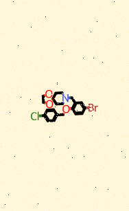 Clc1ccc(COc2ccc(Br)cc2CN2CCC3(CC2)OCCO3)cc1